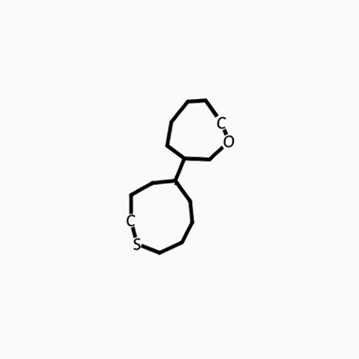 C1CCOCC([C]2CCCCSCCC2)CC1